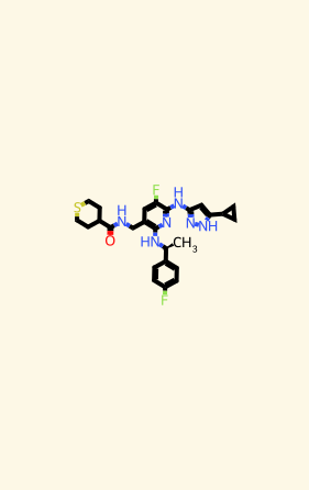 C[C@H](Nc1nc(Nc2cc(C3CC3)[nH]n2)c(F)cc1CNC(=O)C1CCSCC1)c1ccc(F)cc1